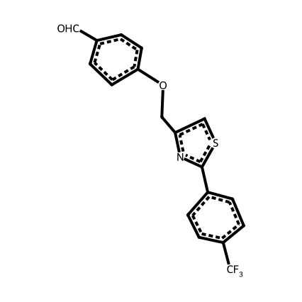 O=Cc1ccc(OCc2csc(-c3ccc(C(F)(F)F)cc3)n2)cc1